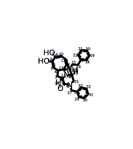 O=C1[C@@H]2CC3/C=C(O)\C(O)=C/C4=CC3(NCCc3ccccc3)N2[C@H]4CN1Cc1ccccc1